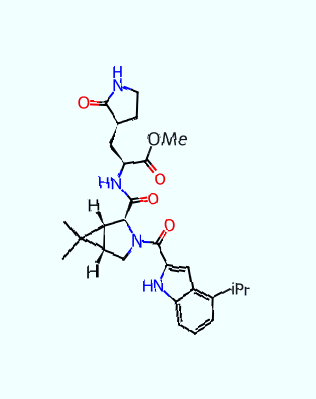 COC(=O)[C@H](C[C@@H]1CCNC1=O)NC(=O)[C@@H]1[C@@H]2[C@H](CN1C(=O)c1cc3c(C(C)C)cccc3[nH]1)C2(C)C